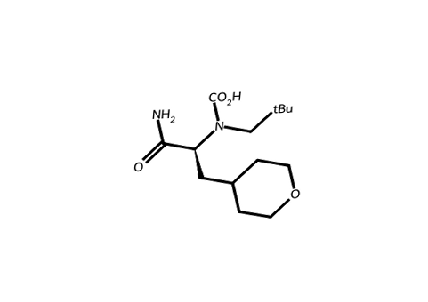 CC(C)(C)CN(C(=O)O)[C@@H](CC1CCOCC1)C(N)=O